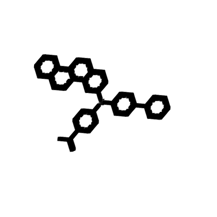 C=C(C)c1ccc(N(c2ccc(-c3ccccc3)cc2)c2ccc3ccc4c5ccccc5ccc4c3c2)cc1